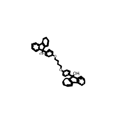 OC1(c2ccc(OCCCCOc3ccc(C4(O)C5=C(C=CC#CC5)c5ccccc54)cc3)cc2)C2=C(CCC=C2)c2ccccc21